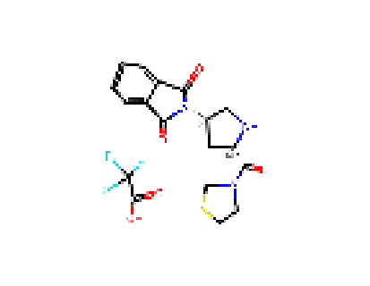 O=C(O)C(F)(F)F.O=C([C@@H]1C[C@H](N2C(=O)c3ccccc3C2=O)CN1)N1CCSC1